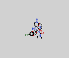 CCN(CC)C(=O)N(C1CCCCC1)C1CC2CCC(C1)N2C(=O)[C@@H](Cc1ccc(Cl)cc1)NC1CCNCC1